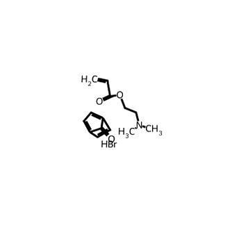 Br.C=CC(=O)OCCN(C)C.O=C1C2=CC=C1C=C2